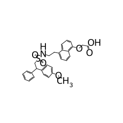 COc1ccc(C(CS(=O)(=O)NCCc2cccc3c(OCC(=O)O)cccc23)c2ccccc2)cc1